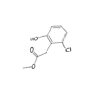 COC(=O)Cc1c(O)cccc1Cl